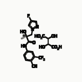 C[C@](O)(Cn1cc(F)cn1)C(=O)Nc1ccc(C#N)c(C(F)(F)F)c1.O=C(O)C(O)C(O)C(=O)O